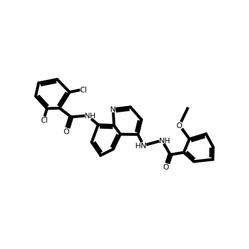 COc1ccccc1C(=O)NNc1ccnc2c(NC(=O)c3c(Cl)cccc3Cl)cccc12